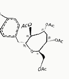 CC(=O)OC[C@H]1O[C@H](Cc2ccc(I)cc2)[C@@H](OC(C)=O)[C@H](OC(C)=O)[C@@H]1OC(C)=O